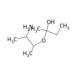 CCC(C)(O)OC(C)C(C)N